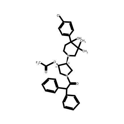 CC1(C)CN([C@H]2CN(C(=O)C(c3ccccc3)c3ccccc3)C[C@@H]2OC(=O)C(F)(F)F)CCC1(O)c1ccc(Cl)cc1